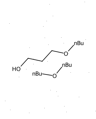 CCCCOCCCC.CCCCOCCCO